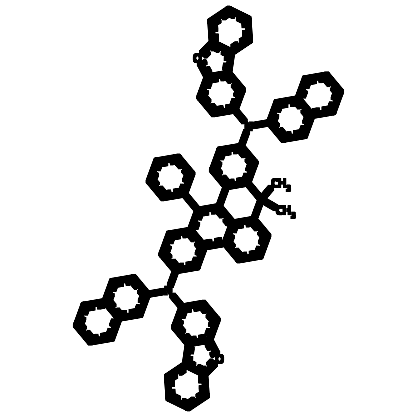 CC1(C)c2cc(N(c3ccc4ccccc4c3)c3ccc4oc5ccccc5c4c3)ccc2-c2c(-c3ccccc3)c3ccc(N(c4ccc5ccccc5c4)c4ccc5oc6ccccc6c5c4)cc3c3cccc1c23